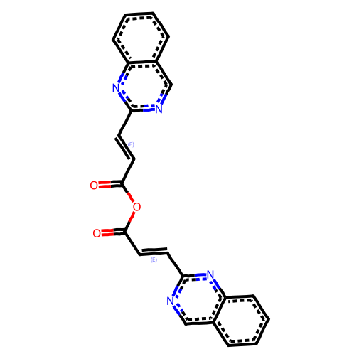 O=C(/C=C/c1ncc2ccccc2n1)OC(=O)/C=C/c1ncc2ccccc2n1